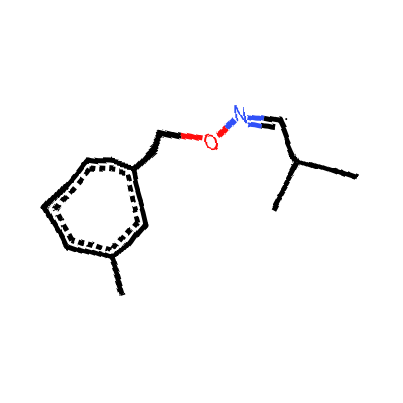 Cc1cccc(CO/N=[C]\C(C)C)c1